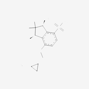 CS(=O)(=O)c1ccc(OC[C@@H]2C[C@@H]2C#N)c2c1[C@H](O)C(F)(F)[C@@H]2F